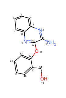 Nc1nc2ccccc2nc1Oc1ccccc1CO